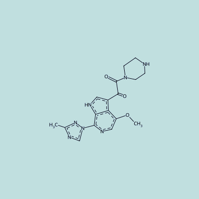 COc1cnc(-n2cnc(C)n2)c2[nH]cc(C(=O)C(=O)N3CCNCC3)c12